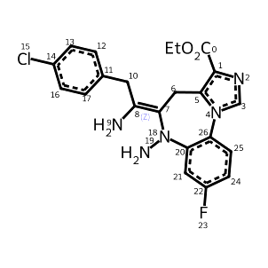 CCOC(=O)c1ncn2c1C/C(=C(/N)Cc1ccc(Cl)cc1)N(N)c1cc(F)ccc1-2